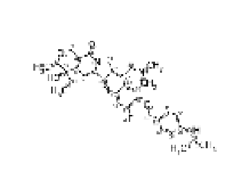 C=C1OCc2c(cc3n(c2=O)Cc2c-3nc3cc(F)c(OCc4ccc(NC(C)C)cc4)cc3c2CN(C)C)[C@@]1(O)CC